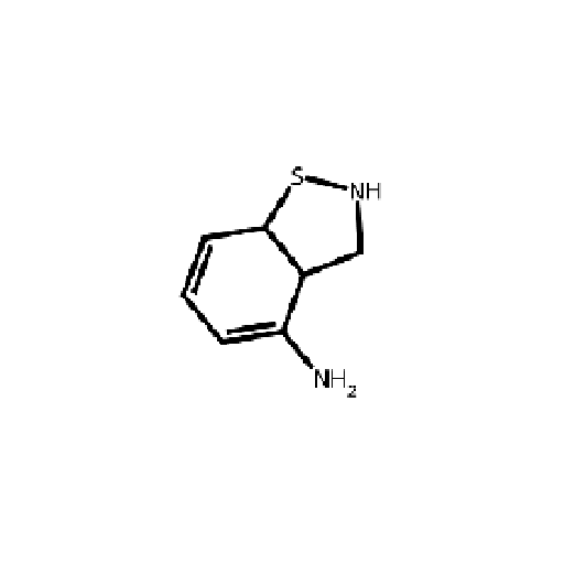 NC1=CC=CC2SNCC12